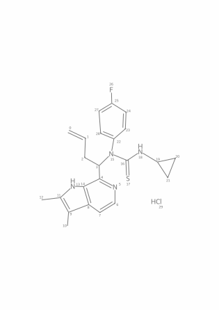 C=CCC(c1nccc2c(C)c(C)[nH]c12)N(C(=S)NC1CC1)c1ccc(F)cc1.Cl